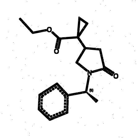 CCOC(=O)C1(C2CC(=O)N([C@@H](C)c3ccccc3)C2)CC1